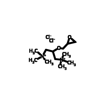 C[N+](C)(C)CC(C[N+](C)(C)C)OCC1CO1.[Cl-].[Cl-]